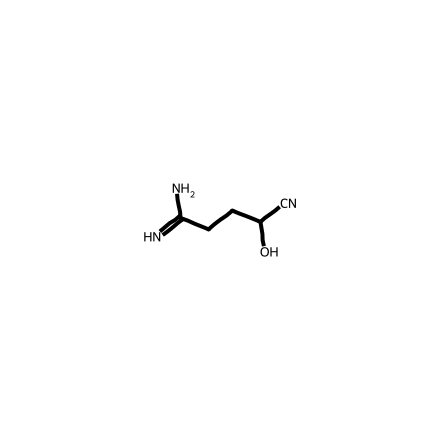 N#CC(O)CCC(=N)N